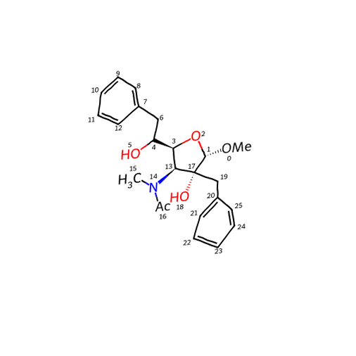 CO[C@H]1O[C@H](C(O)Cc2ccccc2)[C@H](N(C)C(C)=O)[C@]1(O)Cc1ccccc1